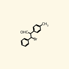 Cc1ccc(C(C=O)C(Br)c2ccccc2)cc1